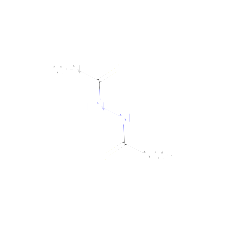 CNC(=S)NNC(=S)NC